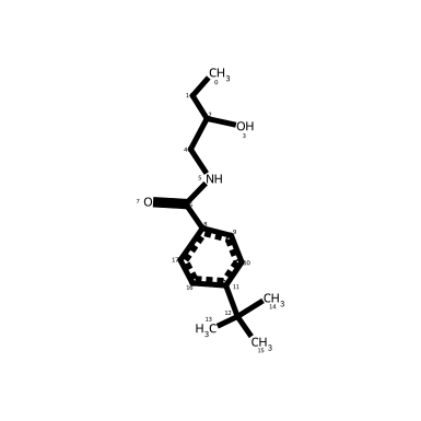 CCC(O)CNC(=O)c1ccc(C(C)(C)C)cc1